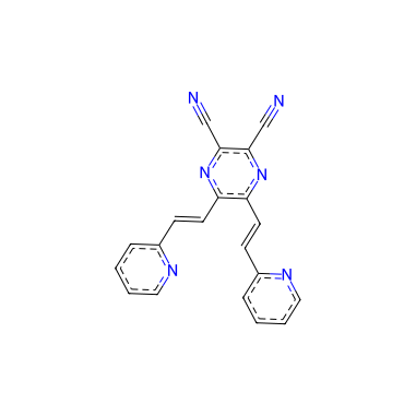 N#Cc1nc(C=Cc2ccccn2)c(C=Cc2ccccn2)nc1C#N